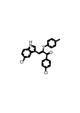 Cc1ccc(SC(=Cc2c[nH]c3ccc(Cl)cc23)C(=O)c2ccc(Cl)cc2)cc1